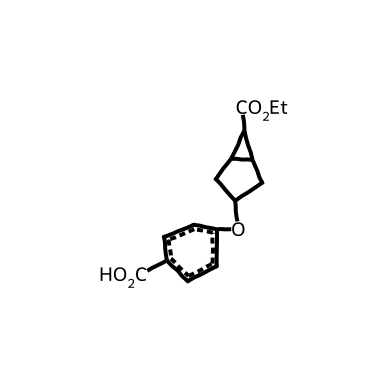 CCOC(=O)C1C2CC(Oc3ccc(C(=O)O)cc3)CC21